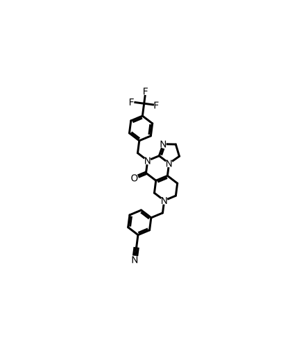 N#Cc1cccc(CN2CCC3=C(C2)C(=O)N(Cc2ccc(C(F)(F)F)cc2)C2=NCCN23)c1